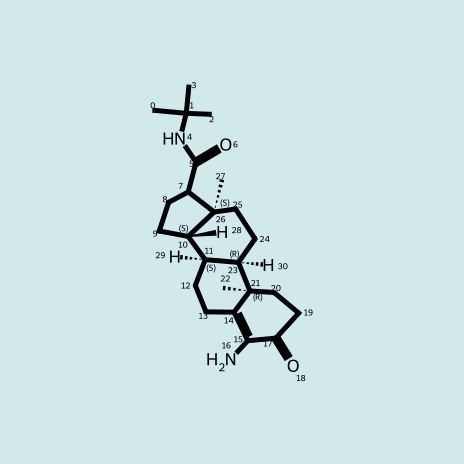 CC(C)(C)NC(=O)C1CC[C@H]2[C@@H]3CCC4=C(N)C(=O)CC[C@]4(C)[C@@H]3CC[C@]12C